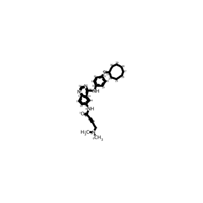 CN(C)CC#CC(=O)Nc1ccc2ncnc(Nc3ccc(SC4CCCCCCC4)cc3)c2c1